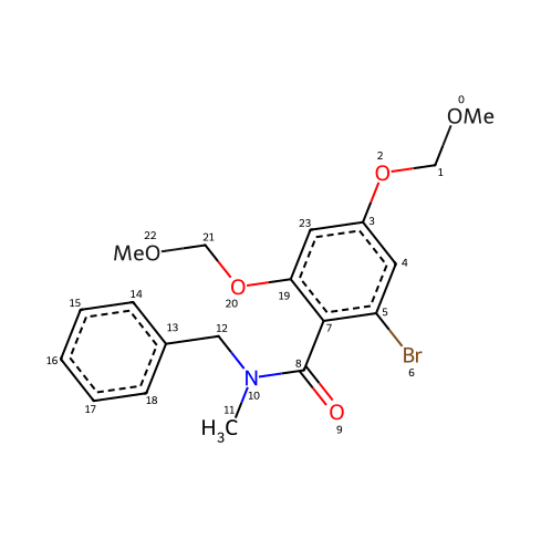 COCOc1cc(Br)c(C(=O)N(C)Cc2ccccc2)c(OCOC)c1